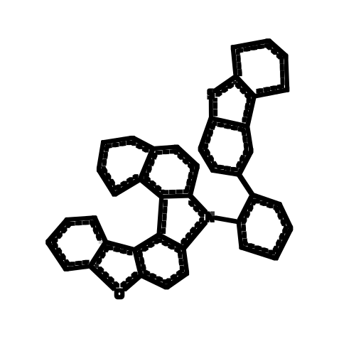 c1ccc(-n2c3ccc4ccccc4c3c3c4c(ccc32)oc2ccccc24)c(-c2ccc3sc4ccccc4c3c2)c1